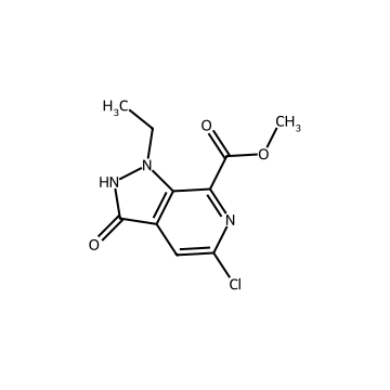 CCn1[nH]c(=O)c2cc(Cl)nc(C(=O)OC)c21